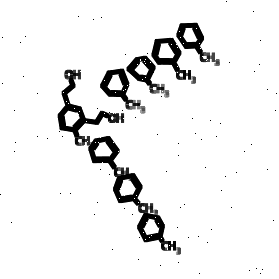 Cc1ccc(CCO)cc1CCO.Cc1ccccc1.Cc1ccccc1.Cc1ccccc1.Cc1ccccc1.Cc1ccccc1.Cc1ccccc1.Cc1ccccc1